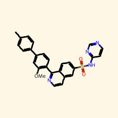 COc1cc(-c2ccc(C)cc2)ccc1-c1nccc2cc(S(=O)(=O)Nc3ccncn3)ccc12